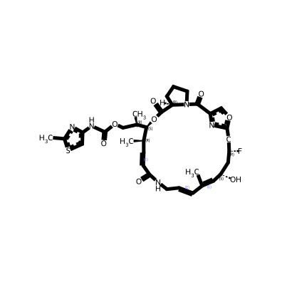 CC1=C\[C@@H](O)C[C@@H](F)Cc2nc(co2)C(=O)N2CCC[C@@H]2C(=O)O[C@H]([C@H](C)COC(=O)Nc2csc(C)n2)[C@H](C)/C=C/C(=O)NC\C=C\1